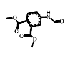 COC(=O)c1ccc(NC=O)cc1C(=O)OC